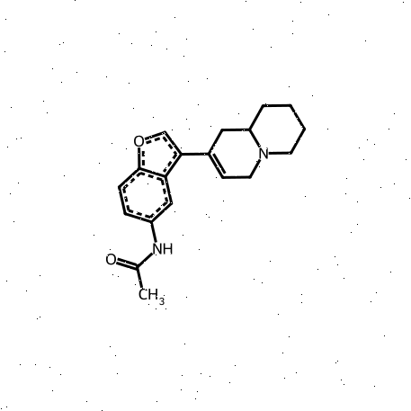 CC(=O)Nc1ccc2occ(C3=CCN4CCCCC4C3)c2c1